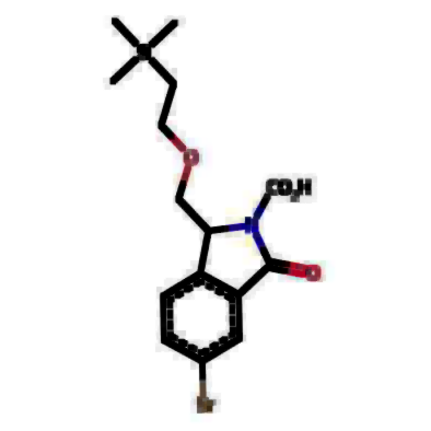 C[Si](C)(C)CCOCC1c2ccc(Br)cc2C(=O)N1C(=O)O